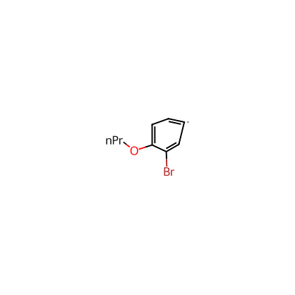 CCCOc1cc[c]cc1Br